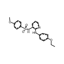 CCOc1ccc(Nc2ncccc2NS(=O)(=O)c2ccc(OC)cc2)cc1